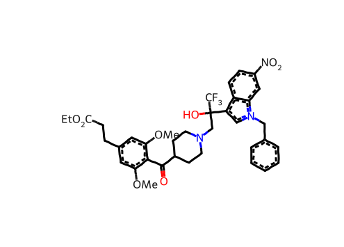 CCOC(=O)CCc1cc(OC)c(C(=O)C2CCN(CC(O)(c3cn(Cc4ccccc4)c4cc([N+](=O)[O-])ccc34)C(F)(F)F)CC2)c(OC)c1